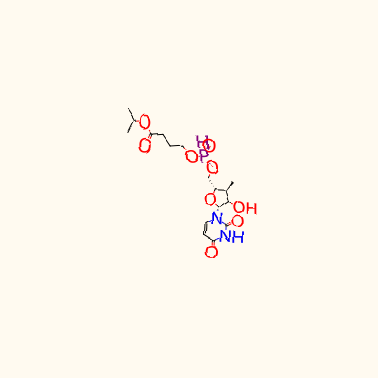 CC(C)OC(=O)CCCO[PH](=O)OC[C@H]1O[C@@H](n2ccc(=O)[nH]c2=O)[C@H](O)[C@@H]1C